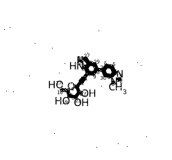 Cn1cnc2ccc(-c3cc(C#CC4OC(CO)[C@@H](O)C(O)C4O)c4[nH]ncc4c3)cc21